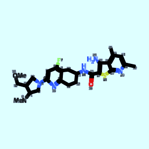 CNC1CN(c2cc(F)c3c(n2)CCC(NC(=O)c2sc4nc(C)cc(C)c4c2N)C3)CC1COC